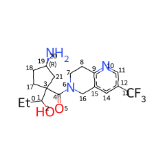 CCC(O)C1(C(=O)N2CCc3ncc(C(F)(F)F)cc3C2)CC[C@@H](N)C1